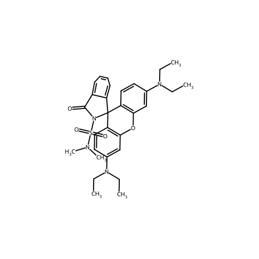 CCN(CC)c1ccc2c(c1)Oc1cc(N(CC)CC)ccc1C21c2ccccc2C(=O)N1S(=O)(=O)N(C)C